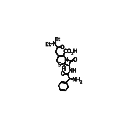 CCN(CC)C(=O)CC1=C(C(=O)O)N2C(=O)[C@@H](NC(=O)C(N)C3=CCC=CC3)[C@@H]2SC1